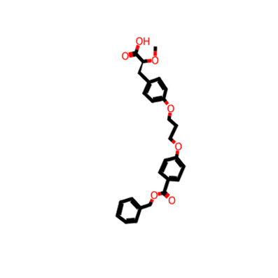 CO[C@@H](Cc1ccc(OCCCOc2ccc(C(=O)OCc3ccccc3)cc2)cc1)C(=O)O